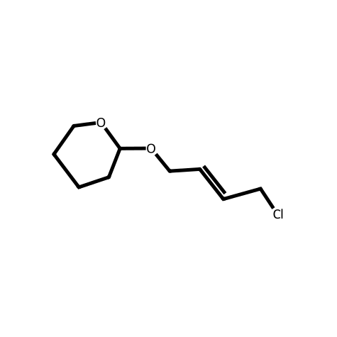 ClCC=CCOC1CCCCO1